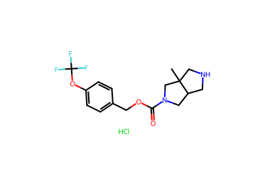 CC12CNCC1CN(C(=O)OCc1ccc(OC(F)(F)F)cc1)C2.Cl